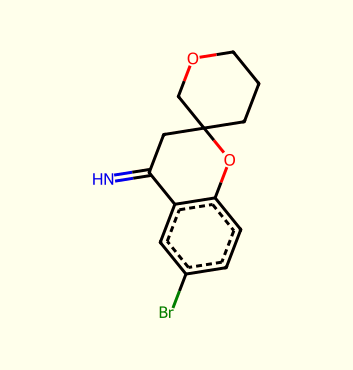 N=C1CC2(CCCOC2)Oc2ccc(Br)cc21